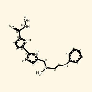 CN(CCOc1ccccc1)Cc1cnc(-c2ccc(C(=O)NO)s2)[nH]1